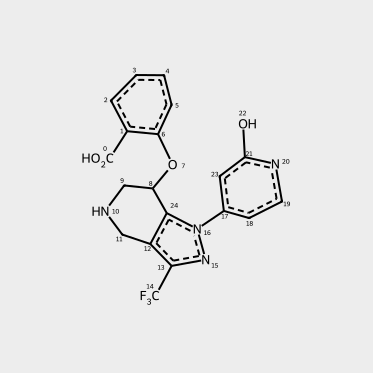 O=C(O)c1ccccc1OC1CNCc2c(C(F)(F)F)nn(-c3ccnc(O)c3)c21